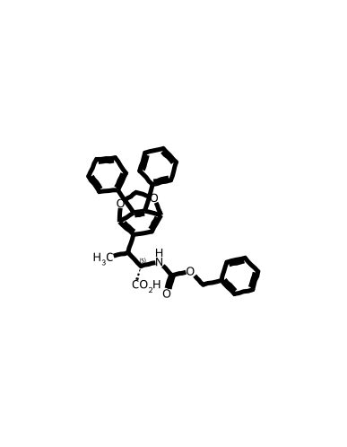 CC(c1cc2c(-c3ccccc3)c(-c3ccccc3)c1OCO2)[C@H](NC(=O)OCc1ccccc1)C(=O)O